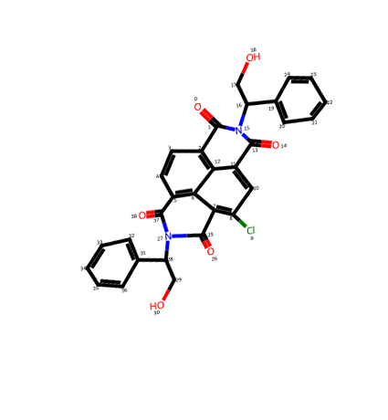 O=C1c2ccc3c4c(c(Cl)cc(c24)C(=O)N1C(CO)c1ccccc1)C(=O)N(C(CO)c1ccccc1)C3=O